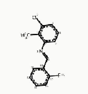 Cc1c(Cl)cccc1/N=C/c1ccccc1F